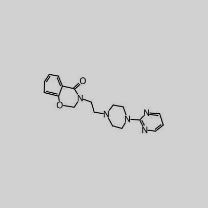 O=C1c2ccccc2OCN1CCN1CCN(c2ncccn2)CC1